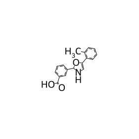 Cc1ccccc1C1=CNC(c2cccc(C(=O)O)c2)O1